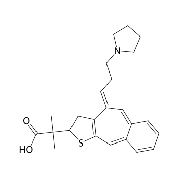 CC(C)(C(=O)O)C1CC2=C(C=c3ccccc3=CC2=CCCN2CCCC2)S1